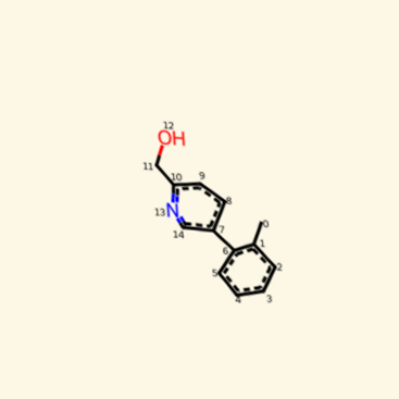 Cc1ccccc1-c1ccc(CO)nc1